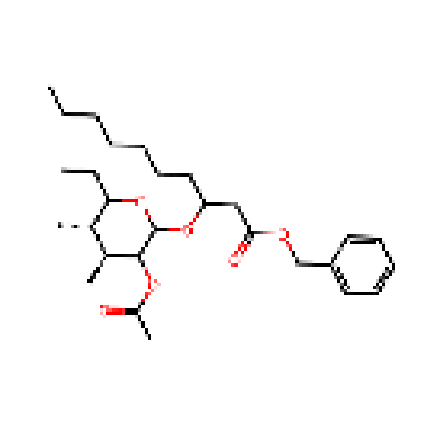 CCCCCCCC(CC(=O)OCc1ccccc1)OC1OC(CC)[C@@H](C)[C@H](C)C1OC(C)=O